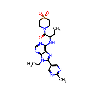 CCC(Nc1ncnc2c1nc(-c1cnc(C)nc1)n2CC)C(=O)N1CCS(=O)(=O)CC1